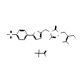 Cc1nn(CC(CN)=C(F)F)c(=O)n1Cc1ccc(-c2ccc(S(C)(=O)=O)cc2)s1.O=C(O)C(F)(F)F